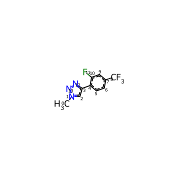 Cn1cc(-c2ccc(C(F)(F)F)cc2F)nn1